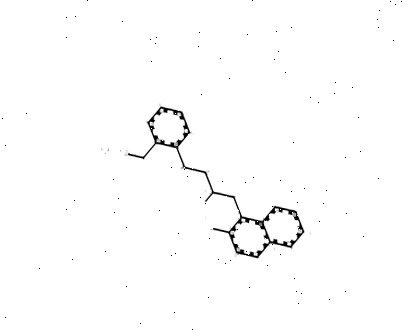 CNCc1ccccc1CCC(O)Cc1c(S)ccc2ccccc12